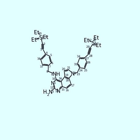 CC[Si](C#Cc1ccc(CNc2nc(N)nc3ccc4c(ccn4Cc4ccc(C#C[Si](CC)(CC)CC)cc4)c23)cc1)(CC)CC